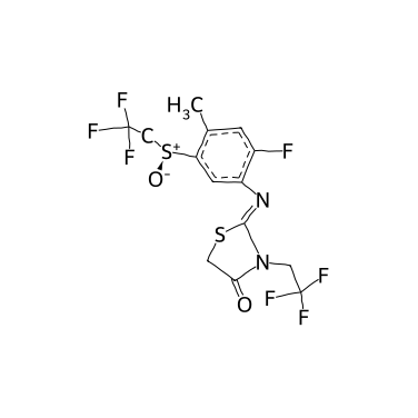 Cc1cc(F)c(N=C2SCC(=O)N2CC(F)(F)F)cc1[S@@+]([O-])CC(F)(F)F